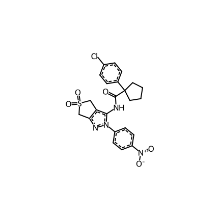 O=C(Nc1c2c(nn1-c1ccc([N+](=O)[O-])cc1)CS(=O)(=O)C2)C1(c2ccc(Cl)cc2)CCCC1